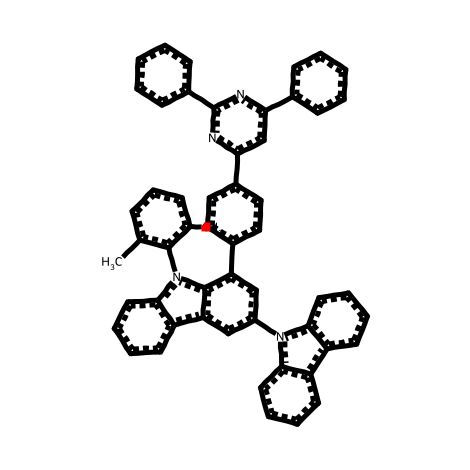 Cc1cccc(C)c1-n1c2ccccc2c2cc(-n3c4ccccc4c4ccccc43)cc(-c3ccc(-c4cc(-c5ccccc5)nc(-c5ccccc5)n4)cc3)c21